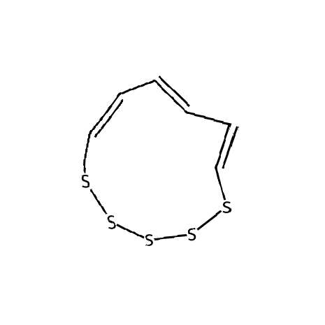 C1=C\SSSSS/C=C/C=C/1